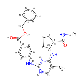 CC(C)NC(=O)[C@H]1CCC[C@H]1Nc1nc(Nc2ccc(C(=O)OCc3ccccc3)cc2)ncc1C(F)(F)F